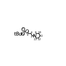 CC(C)(C)OC(=O)OCCCN1CCCCC1